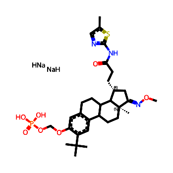 CON=C1C[C@@H](CCC(=O)Nc2ncc(C)s2)C2C3CCc4cc(OCOP(=O)(O)O)c(C(C)(C)C)cc4C3CC[C@]12C.[NaH].[NaH]